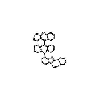 C1=CC2C=Cc3c(oc4c(-c5c6ccccc6c(-c6c7ccccc7cc7ccccc67)c6ccccc56)cccc34)C2C=C1